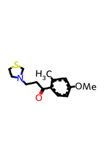 COc1ccc(C(=O)CCN2CCSC2)c(C)c1